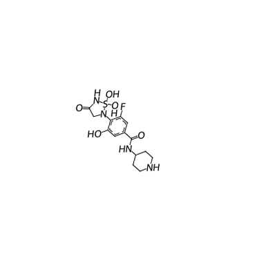 O=C1CN(c2c(O)cc(C(=O)NC3CCNCC3)cc2F)S(O)(O)N1